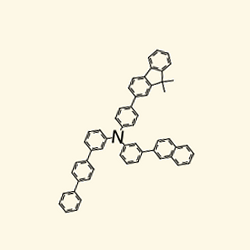 CC1(C)c2ccccc2-c2ccc(-c3ccc(N(c4cccc(-c5ccc(-c6ccccc6)cc5)c4)c4cccc(-c5ccc6ccccc6c5)c4)cc3)cc21